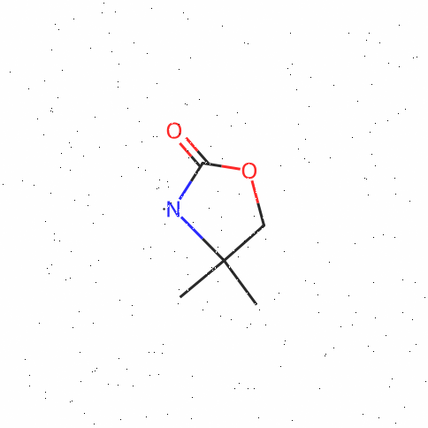 CC1(C)COC(=O)[N]1